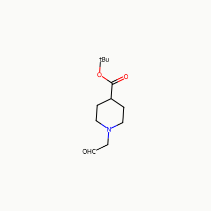 CC(C)(C)OC(=O)C1CCN(CC=O)CC1